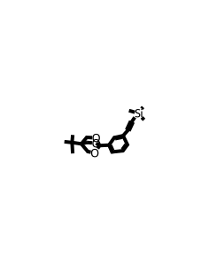 CC(C)(C)C12COC(c3cccc(C#C[Si](C)(C)C)c3)(OC1)OC2